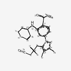 CNC(=O)c1ccc(-n2nc(C)c(C)c2CC(C)(C)CC=O)cc1NC1CCSCC1